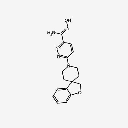 N/C(=N\O)c1ccc(N2CCC3(CC2)COc2ccccc23)nn1